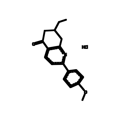 CCC1CC(=O)c2ccc(-c3ccc(OC)cc3)nc2C1.Cl